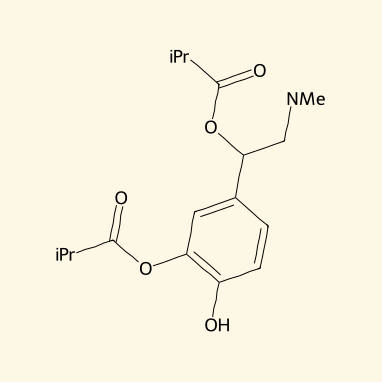 CNCC(OC(=O)C(C)C)c1ccc(O)c(OC(=O)C(C)C)c1